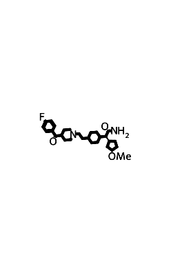 CO[C@H]1CC[C@H](C(C(N)=O)C2CCC(CCN3CCC(C(=O)c4ccc(F)cc4)CC3)CC2)C1